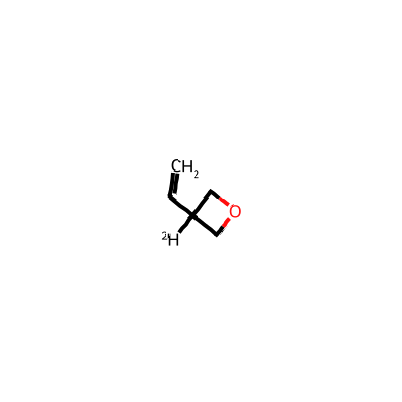 [2H]C1(C=C)COC1